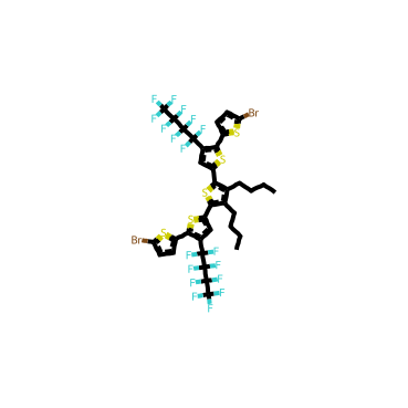 CCCCc1c(-c2cc(C(F)(F)C(F)(F)C(F)(F)C(F)(F)F)c(-c3ccc(Br)s3)s2)sc(-c2cc(C(F)(F)C(F)(F)C(F)(F)C(F)(F)F)c(-c3ccc(Br)s3)s2)c1CCCC